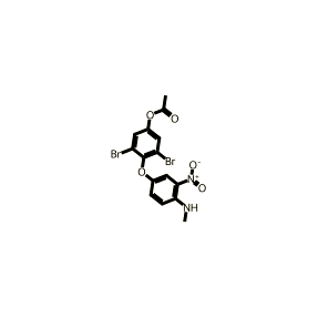 CNc1ccc(Oc2c(Br)cc(OC(C)=O)cc2Br)cc1[N+](=O)[O-]